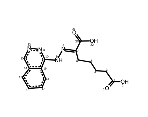 O=C(O)CCCC/C(=N\Nc1nncc2ccccc12)C(=O)O